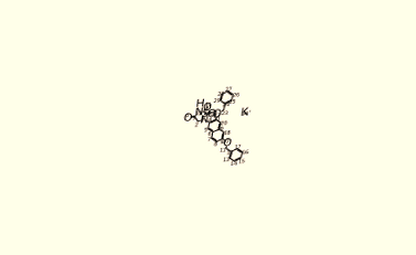 O=C1CN(c2cc3ccc(OCc4ccccc4)cc3cc2OCc2ccccc2)S(=O)(=O)N1.[K]